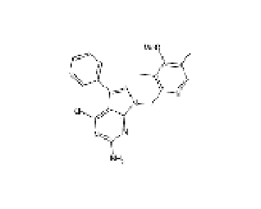 COc1c(C)cnc(Cn2nc(-c3ccccc3)c3c(Cl)nc(N)nc32)c1C